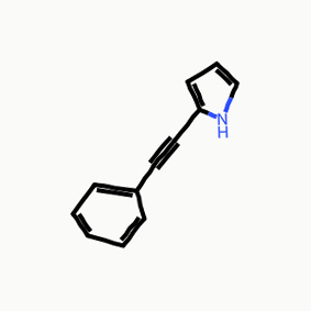 C(#Cc1ccc[nH]1)c1ccccc1